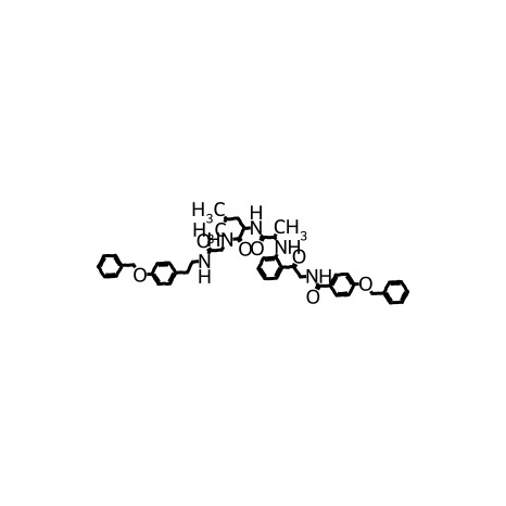 CC(C)CC(NC(=O)C(C)Nc1ccccc1C(=O)CNC(=O)c1ccc(OCc2ccccc2)cc1)C(=O)NCC(=O)NCCc1ccc(OCc2ccccc2)cc1